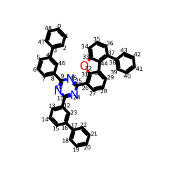 c1ccc(-c2cccc(-c3nc(-c4cccc(-c5ccccc5)c4)nc(-c4cccc5c4oc4cccc(-c6ccccc6)c45)n3)c2)cc1